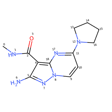 CNC(=O)c1c(N)nn2ccc(N3CCCC3)nc12